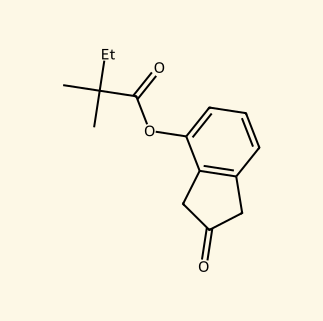 CCC(C)(C)C(=O)Oc1cccc2c1CC(=O)C2